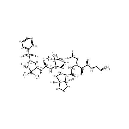 C=CCNC(=O)C(=O)[C@H](CC(F)F)NC(=O)[C@@H]1[C@H]2CCC[C@H]2CN1C(=O)[C@@H](NC(=O)N[C@H](CN(C)S(=O)(=O)c1ccccn1)C(C)(C)C)C(C)(C)C